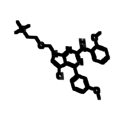 COc1cccc(-c2nc(Nc3ccccc3OC)nc3c2c(Cl)cn3COCC[Si](C)(C)C)c1